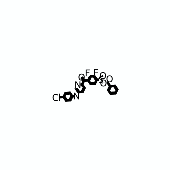 CN(c1ccc(Cl)cc1)c1ccc(C(=O)c2ccc(S(=O)OC(=O)c3ccccc3)c(F)c2F)nc1